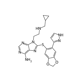 Nc1ncnc2c1nc(Sc1cc3c(cc1-c1cc[nH]n1)OCO3)n2CCNCC1CC1